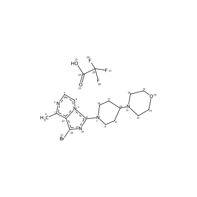 Cc1nccn2c(N3CCC(N4CCOCC4)CC3)nc(Br)c12.O=C(O)C(F)(F)F